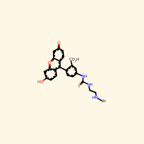 CC(C)NCCNC(=S)Nc1ccc(-c2c3ccc(=O)cc-3oc3cc(O)ccc23)c(C(=O)O)c1